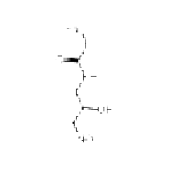 CC(C)(C)OC(=O)NCC(O)CN=O